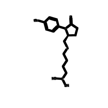 CC(C)(C)c1ccc(N2C(=O)CC[C@H]2CSCCCCP(O)O)cc1